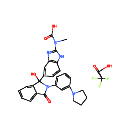 CN(C(=O)O)c1nc2cc(C3(O)c4ccccc4C(=O)N3c3cccc(N4CCCC4)c3)ccc2[nH]1.O=C(O)C(F)(F)F